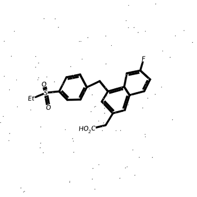 CCS(=O)(=O)c1ccc(Cc2cc(CC(=O)O)cc3ccc(F)cc23)cc1